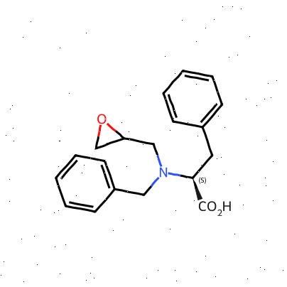 O=C(O)[C@H](Cc1ccccc1)N(Cc1ccccc1)CC1CO1